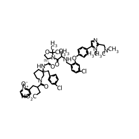 CC(NCc1ccc(Cl)cc1Oc1ccc(-c2cnc(CN(C)C)n2C)cc1)C(=O)N1[C@H](C(=O)N[C@@]2(Cc3ccc(Cl)cc3)CCCN(C(=O)C(CC(=O)O)Cc3cccc[n+]3[O-])C2)COC1(C)C